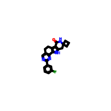 O=C1NC2(CCC2)Cc2[nH]c3c(c21)CCc1cnc(-c2cccc(F)c2)nc1-3